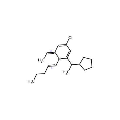 C/C=C1/C=C(Cl)C=C(C(C)C2CCCC2)N1/C=C/CCC